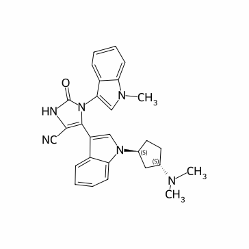 CN(C)[C@H]1CC[C@H](n2cc(-c3c(C#N)[nH]c(=O)n3-c3cn(C)c4ccccc34)c3ccccc32)C1